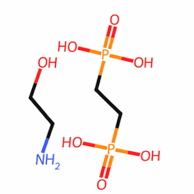 NCCO.O=P(O)(O)CCP(=O)(O)O